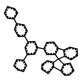 c1ccc(-c2ccc(-c3cc(-c4ccccc4)cc(-c4ccc5c(c4)C4(c6ccccc6-c6ccccc64)c4ccccc4-5)c3)cc2)cc1